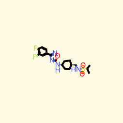 CC(C)S(=O)(=O)NC[C@H]1CC[C@H](Nc2nc(-c3ccc(F)c(F)c3)no2)CC1